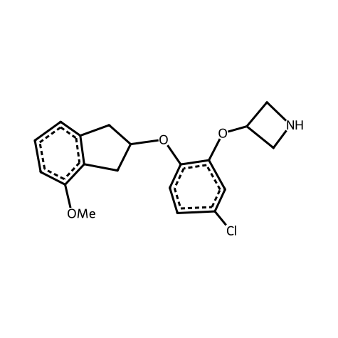 COc1cccc2c1CC(Oc1ccc(Cl)cc1OC1CNC1)C2